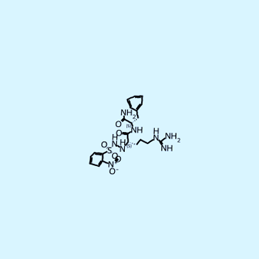 N=C(N)NCCC[C@H](NNS(=O)(=O)c1ccccc1[N+](=O)[O-])C(=O)N[C@@H](Cc1ccccc1)C(N)=O